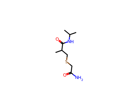 CC(C)NC(=O)C(C)CSCC(N)=O